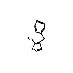 Clc1s[c]cc1Cc1ccccc1